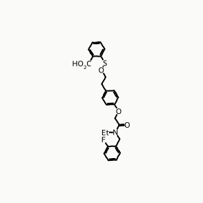 CCN(Cc1ccccc1F)C(=O)COc1ccc(CCOSc2ccccc2C(=O)O)cc1